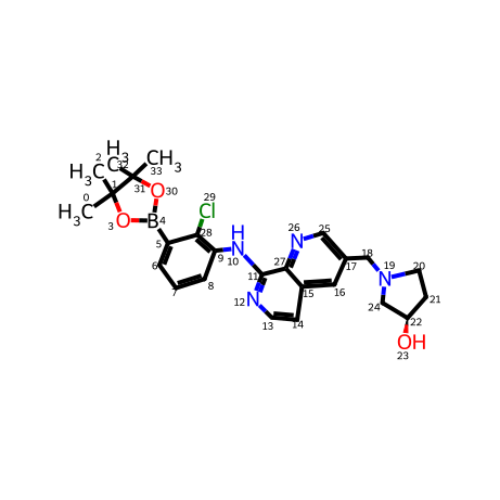 CC1(C)OB(c2cccc(Nc3nccc4cc(CN5CC[C@@H](O)C5)cnc34)c2Cl)OC1(C)C